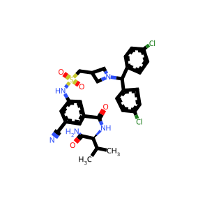 CC(C)[C@H](NC(=O)c1cc(C#N)cc(NS(=O)(=O)CC2CN(C(c3ccc(Cl)cc3)c3ccc(Cl)cc3)C2)c1)C(N)=O